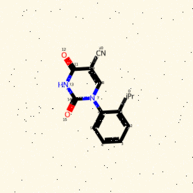 CC(C)c1ccccc1-n1cc(C#N)c(=O)[nH]c1=O